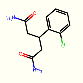 NC(=O)CC(CC(N)=O)c1ccccc1Cl